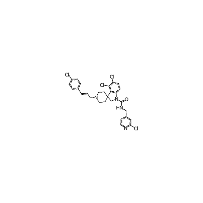 O=C(NCc1ccnc(Cl)c1)N1CC2(CCN(CC=Cc3ccc(Cl)cc3)CC2)c2c1ccc(Cl)c2Cl